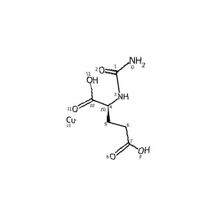 NC(=O)N[C@@H](CCC(=O)O)C(=O)O.[Cu]